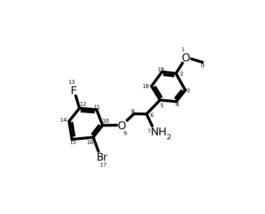 COc1ccc(C(N)COc2cc(F)ccc2Br)cc1